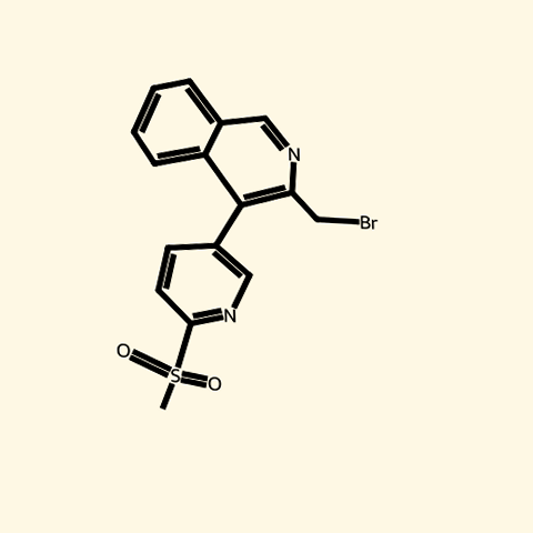 CS(=O)(=O)c1ccc(-c2c(CBr)ncc3ccccc23)cn1